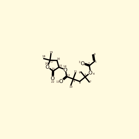 C=CC(=O)OC(C)(C)CC(C)(C)C(=O)OC1CC(C)(C)OC1=O